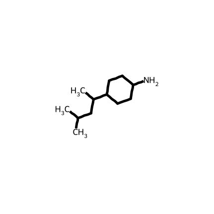 CC(C)CC(C)C1CCC(N)CC1